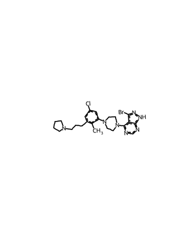 Cc1c(CCCN2CCCC2)cc(Cl)cc1N1CCN(c2ncnc3[nH]nc(Br)c23)CC1